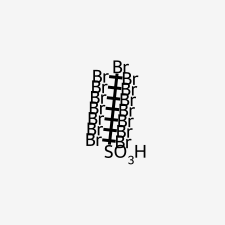 O=S(=O)(O)C(Br)(Br)C(Br)(Br)C(Br)(Br)C(Br)(Br)C(Br)(Br)C(Br)(Br)C(Br)(Br)Br